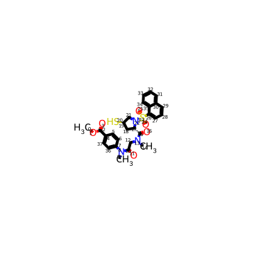 COC(=O)c1ccc(N(C)C(=O)CN(C)C(=O)[C@@H]2C[C@@H](S)CN2S(=O)(=O)c2cccc3ccccc23)cc1